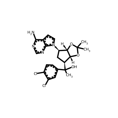 CC1(C)O[C@@H]2[C@H](O1)[C@@H](C(C)(O)c1ccc(Cl)c(Cl)c1)C[C@H]2n1ccc2c(N)ncnc21